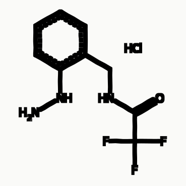 Cl.NNc1ccccc1CNC(=O)C(F)(F)F